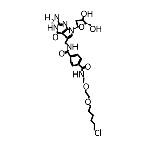 Nc1nc2c(c(CNC(=O)c3ccc(C(=O)NCCOCCOCCCCCCCl)cc3)cn2[C@H]2CC(O)[C@@H](CO)O2)c(=O)[nH]1